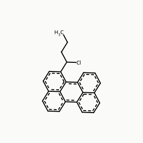 CCCC(Cl)c1ccc2cccc3c4cccc5cccc(c1c23)c54